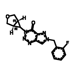 O=c1c2nn(Cc3ccccc3F)cc2nnn1C1[C@H]2COC[C@@H]12